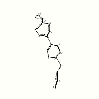 CC=CCN1CC=C(c2ccc(Cl)cc2)CC1